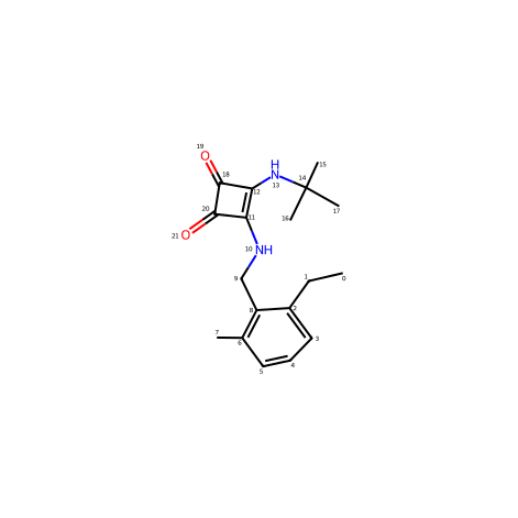 CCc1cccc(C)c1CNc1c(NC(C)(C)C)c(=O)c1=O